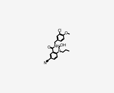 CCCN(CO)c1ccc(C#N)cc1C(=O)NCc1ccc(OC)c(Cl)c1